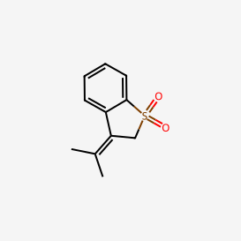 CC(C)=C1CS(=O)(=O)c2ccccc21